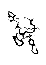 CC(=O)CCC(C)(C)CN(C[C@@H](O)[C@H](Cc1ccccc1)NC(=O)O[C@H]1CO[C@H]2OCC[C@H]21)S(=O)(=O)c1ccc2c(c1)OCCO2